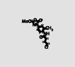 COc1nn(-c2ccc(NC(=O)CCCCl)c(C)c2)c(=O)o1